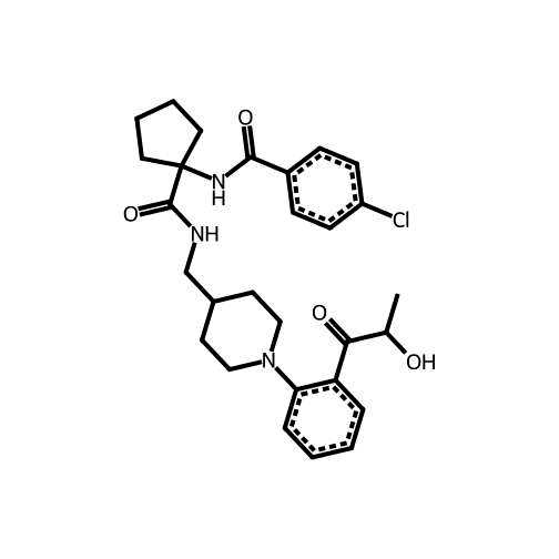 CC(O)C(=O)c1ccccc1N1CCC(CNC(=O)C2(NC(=O)c3ccc(Cl)cc3)CCCC2)CC1